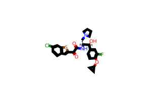 O=C(N[C@H](CN1CCCC1)[C@H](O)c1ccc(OC2CC2)c(F)c1)C(=O)c1cc2ccc(Cl)cc2s1